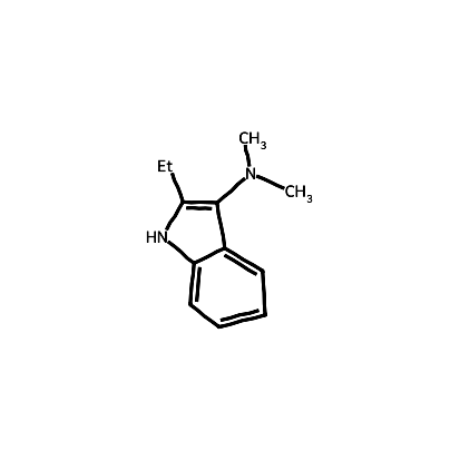 CCc1[nH]c2ccccc2c1N(C)C